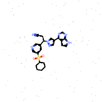 N#CCC(c1cncc(S(=O)(=O)C2CCCCC2)c1)n1cc(-c2ncnc3[nH]ccc23)cn1